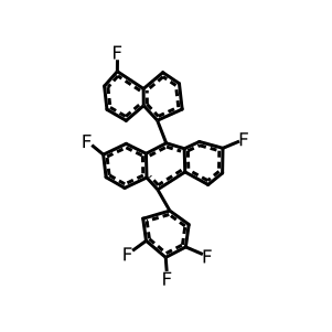 Fc1ccc2c(-c3cc(F)c(F)c(F)c3)c3ccc(F)cc3c(-c3cccc4c(F)cccc34)c2c1